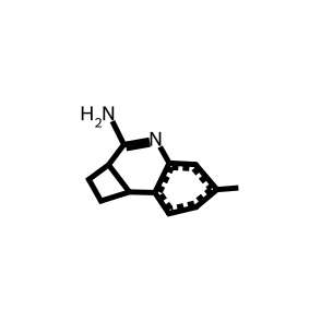 Cc1ccc2c(c1)N=C(N)C1CCC21